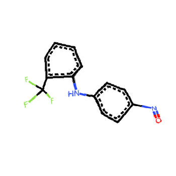 O=Nc1ccc(Nc2ccccc2C(F)(F)F)cc1